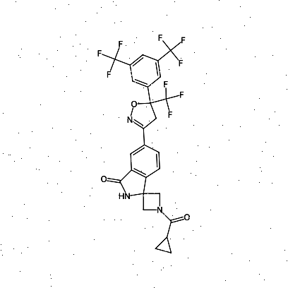 O=C1NC2(CN(C(=O)C3CC3)C2)c2ccc(C3=NOC(c4cc(C(F)(F)F)cc(C(F)(F)F)c4)(C(F)(F)F)C3)cc21